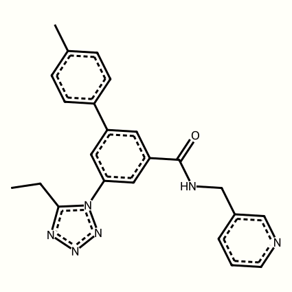 CCc1nnnn1-c1cc(C(=O)NCc2cccnc2)cc(-c2ccc(C)cc2)c1